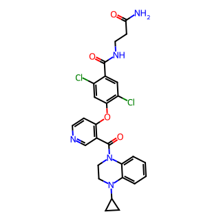 NC(=O)CCNC(=O)c1cc(Cl)c(Oc2ccncc2C(=O)N2CCN(C3CC3)c3ccccc32)cc1Cl